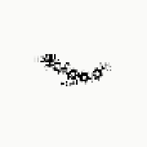 C[C@H](N)C1CCN(Cc2ccc(-n3ccc(NC(=O)N4CCN(C(=O)C(C)(N)CO)CC4)nc3=O)cc2)CC1.Cl